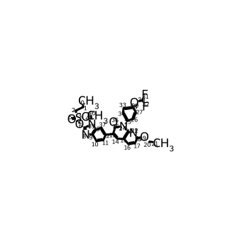 CCCS(=O)(=O)Oc1nc2ccc(-c3cc4ccc(OCC)nc4n(-c4ccc(OC(F)F)cc4)c3=O)cc2n1C